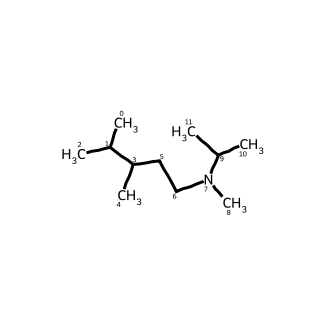 CC(C)C(C)CCN(C)C(C)C